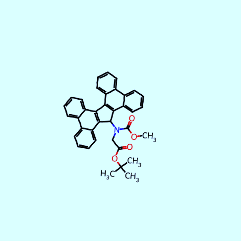 COC(=O)N(CC(=O)OC(C)(C)C)C1c2c(c3ccccc3c3ccccc23)-c2c1c1ccccc1c1ccccc21